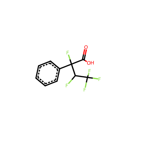 O=C(O)C(F)(c1ccccc1)C(F)C(F)(F)F